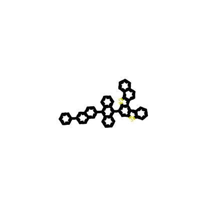 c1ccc(-c2ccc3cc(-c4c5ccccc5c(-c5cc6sc7ccccc7c6c6c5sc5c7ccccc7ccc56)c5ccccc45)ccc3c2)cc1